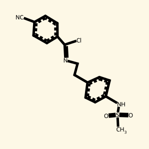 CS(=O)(=O)Nc1ccc(CCN=C(Cl)c2ccc(C#N)cc2)cc1